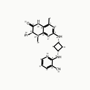 Cc1nc(N[C@H]2C[C@@H](Nc3ncccc3C#N)C2)nc2c1NC(=O)[C@H](C(C)C)N2C